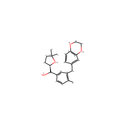 Cc1ccc(C(O)[C@H]2CCC(C)(C)O2)cc1Cc1ccc2c(c1)OCCO2